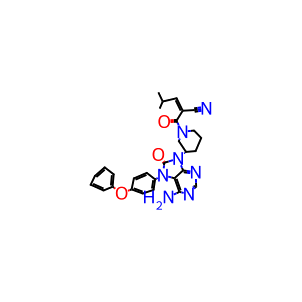 CC(C)/C=C(/C#N)C(=O)N1CCC[C@H](n2c(=O)n(-c3ccc(Oc4ccccc4)cc3)c3c(N)ncnc32)C1